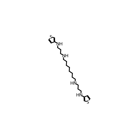 c1cc(NCCCNCCCCCCCCNCCCNc2ccsc2)cs1